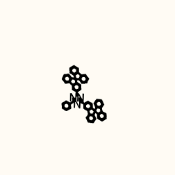 c1ccc(-c2nc(-c3ccc4c(c3)-c3ccccc3C43c4ccccc4-c4ccccc43)nc(-c3ccc4c(c3)-c3ccccc3C43c4ccccc4-c4ccccc43)n2)cc1